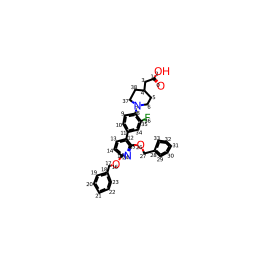 O=C(O)CC1CCN(c2ccc(-c3ccc(OCc4ccccc4)nc3OCc3ccccc3)cc2F)CC1